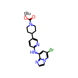 CC(C)(C)OC(=O)N1CCC(c2ccc(Nc3cc(Br)cn4ccnc34)nc2)CC1